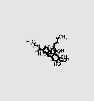 CCCCCCC(CC)C1(C(=O)O)CC(C)(C(=O)O)CC=C1Cc1cccc(C(=O)OCC)c1